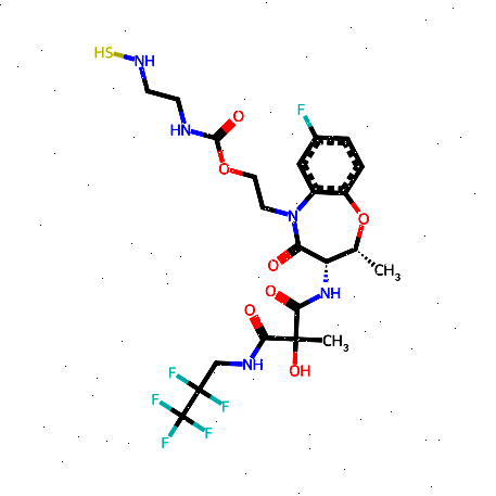 C[C@H]1Oc2ccc(F)cc2N(CCOC(=O)NCCNS)C(=O)[C@H]1NC(=O)C(C)(O)C(=O)NCC(F)(F)C(F)(F)F